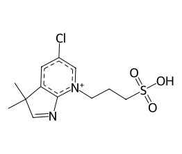 CC1(C)C=Nc2c1cc(Cl)c[n+]2CCCS(=O)(=O)O